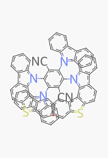 N#Cc1c(-n2c3ccccc3c3ccccc32)c(-n2c3ccccc3c3ccc4sc5ccccc5c4c32)c(C#N)c(-n2c3ccccc3c3ccccc32)c1-n1c2ccccc2c2ccc3sc4ccccc4c3c21